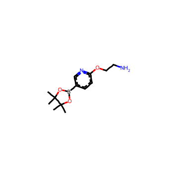 CC1(C)OB(c2ccc(OCCN)nc2)OC1(C)C